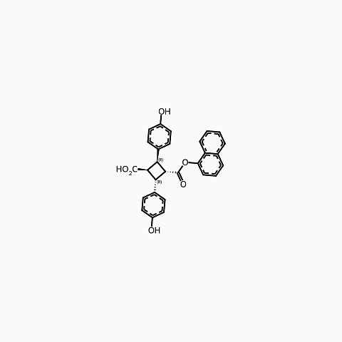 O=C(O)[C@H]1[C@@H](c2ccc(O)cc2)[C@H](C(=O)Oc2cccc3ccccc23)[C@@H]1c1ccc(O)cc1